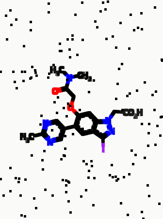 Cc1ncc(-c2cc3c(I)nn(CC(=O)O)c3cc2OCC(=O)N(C)C)cn1